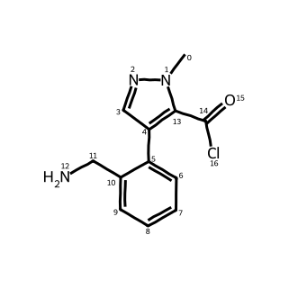 Cn1ncc(-c2ccccc2CN)c1C(=O)Cl